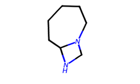 C1CCC2NCN2CC1